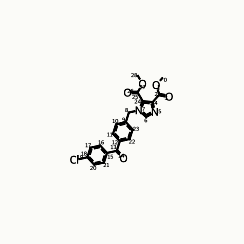 COC(=O)c1ncn(Cc2ccc(C(=O)c3ccc(Cl)cc3)cc2)c1C(=O)OC